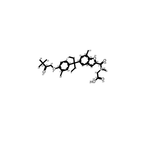 CCC(CC)(c1ccc(OCC(=O)C(C)(C)C)c(C)c1)c1cc(C)c2oc(C(=O)N(C)CC(=O)O)cc2c1